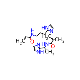 C=C(C)C(=O)NC(C)c1ncc[nH]1.C=CC(=O)NCCCc1ncc[nH]1